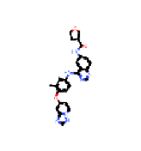 Cc1cc(Nc2ncnc3ccc(NC(=O)C4CCOC4)cc23)ccc1Oc1ccn2ncnc2c1